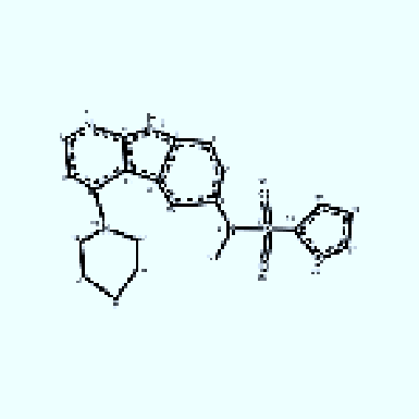 CN(c1ccc2[nH]c3nccc(N4CCCCC4)c3c2c1)S(=O)(=O)c1cccs1